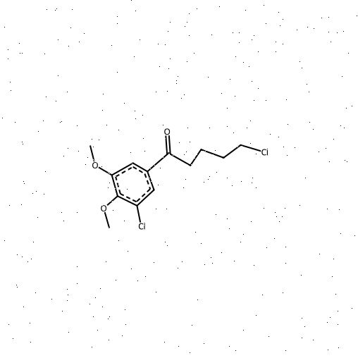 COc1cc(C(=O)CCCCCl)cc(Cl)c1OC